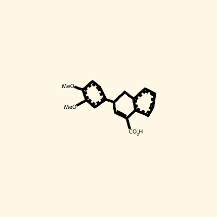 COc1ccc(C2C=C(C(=O)O)c3ccccc3C2)cc1OC